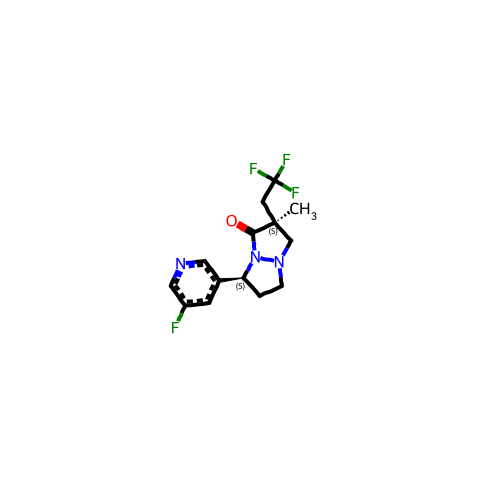 C[C@]1(CC(F)(F)F)CN2CC[C@@H](c3cncc(F)c3)N2C1=O